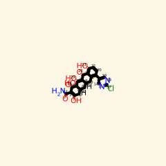 NC(=O)C1=C(O)C[C@@H]2C[C@@H]3Cc4c(-c5cnc(Cl)nc5)ccc(O)c4C(=O)C3=C(O)[C@]2(O)C1=O